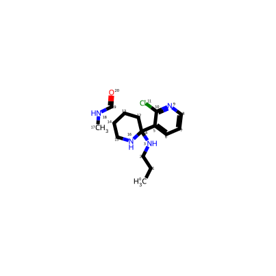 CCCNC1(c2cccnc2Cl)CCCCN1.CNC=O